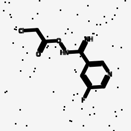 N=C(NOC(=O)CCl)c1cncc(F)c1